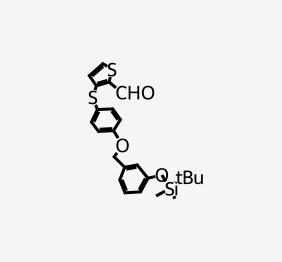 CC(C)(C)[Si](C)(C)Oc1cccc(COc2ccc(Sc3ccsc3C=O)cc2)c1